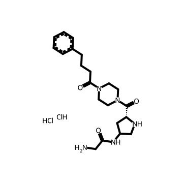 Cl.Cl.NCC(=O)NC1CN[C@@H](C(=O)N2CCN(C(=O)CCCc3ccccc3)CC2)C1